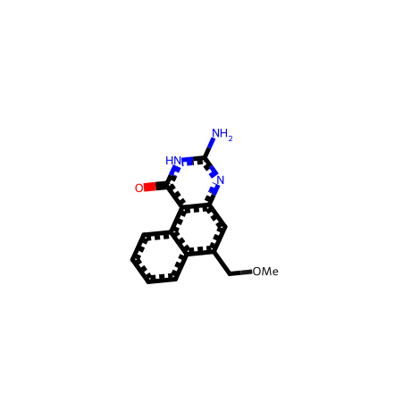 COCc1cc2nc(N)[nH]c(=O)c2c2ccccc12